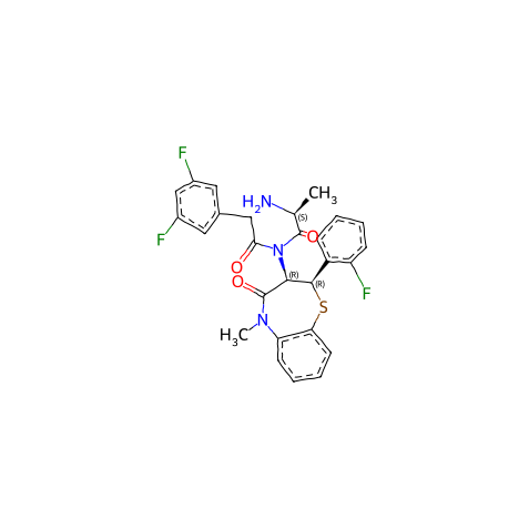 C[C@H](N)C(=O)N(C(=O)Cc1cc(F)cc(F)c1)[C@@H]1C(=O)N(C)c2ccccc2S[C@@H]1c1ccccc1F